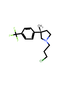 C[C@@]1(c2ccc(C(F)(F)F)cc2)CCN(CCCCl)C1